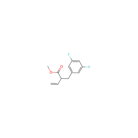 C=CC(Cc1cc(F)cc(F)c1)C(=O)OC